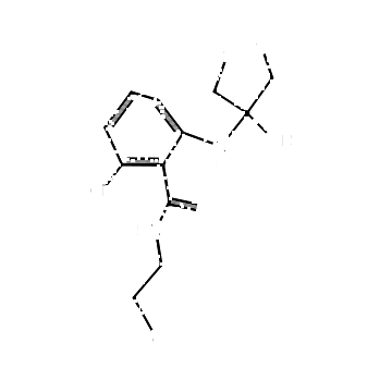 CCCNC(=O)c1c(Cl)cccc1NC(C)(CC)CC